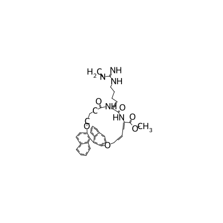 C=NC(=N)NCCC/C=C1\NC(=O)CCCOc2ccc3ccccc3c2-c2c(ccc3ccccc23)OC/C=C/C=C(/C(=O)OC)NC1=O